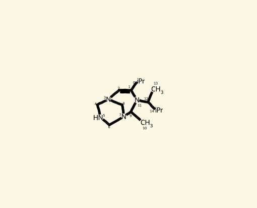 CC(C)C1=CN2CNCN(C2)C(C)N1C(C)C(C)C